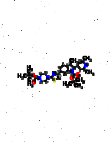 Cc1cc(-c2c(C)c3ccc(-c4csc(N5CCN(C(=O)OC(C)(C)C)CC5)n4)cc3n2C(=O)OC(C)(C)C)cc(C)n1